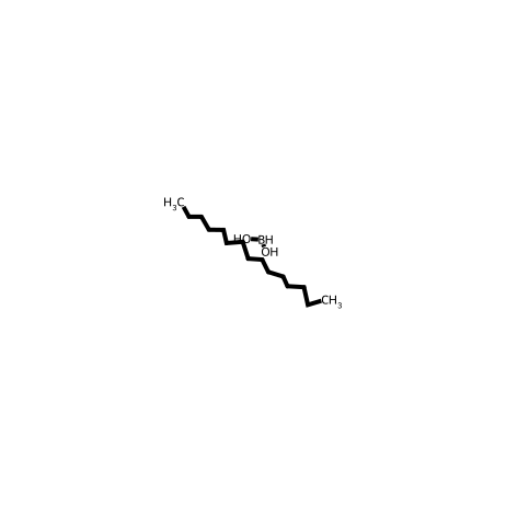 CCCCCCCCCCCCCCC.OBO